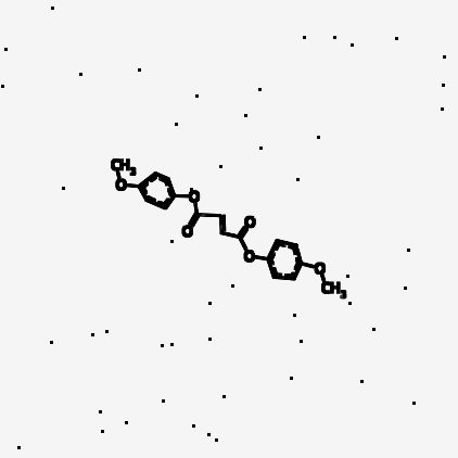 COc1ccc(OC(=O)/C=C/C(=O)Oc2ccc(OC)cc2)cc1